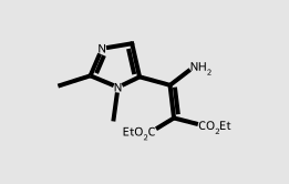 CCOC(=O)C(C(=O)OCC)=C(N)c1cnc(C)n1C